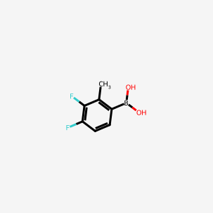 Cc1c(B(O)O)ccc(F)c1F